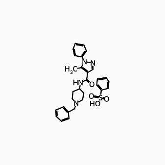 Cc1c(C(=O)NC2CCN(Cc3ccccc3)CC2)cnn1-c1ccccc1.O=S(=O)(O)c1ccccc1